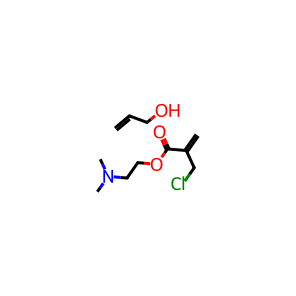 C=C(CCl)C(=O)OCCN(C)C.C=CCO